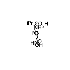 CC(C)C[C@H](NCc1ccc(C=CC(=O)NO)cn1)C(=O)O